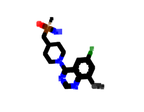 COc1cc(F)cc2c(N3CCC(C[S@](C)(=N)=O)CC3)ncnc12